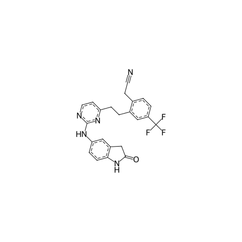 N#CCc1ccc(C(F)(F)F)cc1CCc1ccnc(Nc2ccc3c(c2)CC(=O)N3)n1